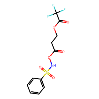 O=C(CCOC(=O)C(F)(F)F)ONS(=O)(=O)c1ccccc1